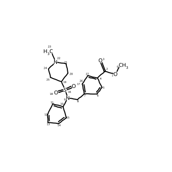 COC(=O)c1ccc(CN(c2ccccc2)S(=O)(=O)C2CCN(C)CC2)cc1